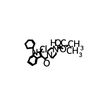 CC(C)(C)OC(=O)N1CCN(C(=O)c2c(Cl)n(C3C=CCCC3)c3ccccc23)CC1